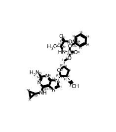 C#C[C@H]1C[C@@H](CO[P@@](=O)(N[C@H](C)C(=O)OC)Oc2ccccc2)O[C@H]1n1cnc2c(NC3CC3)nc(N)nc21